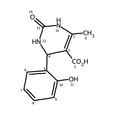 CC1=C(C(=O)O)C(c2ccccc2O)NC(=O)N1